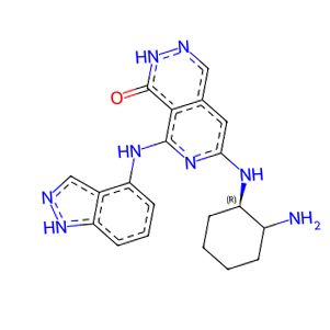 NC1CCCC[C@H]1Nc1cc2cn[nH]c(=O)c2c(Nc2cccc3[nH]ncc23)n1